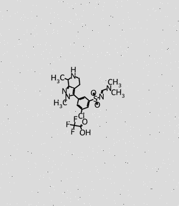 CC1NCCc2c1nn(C)c2-c1cc(Cl)cc(S(=O)(=O)N=CN(C)C)c1.O=C(O)C(F)(F)F